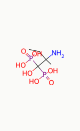 CCC(C)(N)C(O)(P(=O)(O)O)P(=O)(O)O